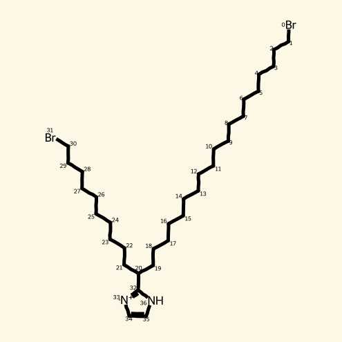 BrCCCCCCCCCCCCCCCCCCCC(CCCCCCCCCCBr)C1=[N+]C=CN1